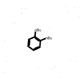 CCCCc1[c][c]ccc1CCCC